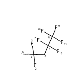 [CH2]C(F)(F)CC(F)(F)C(F)(F)F